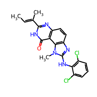 C/C=C(\C)c1nc2ccc3nc(Nc4c(Cl)cccc4Cl)n(C)c3c2c(=O)[nH]1